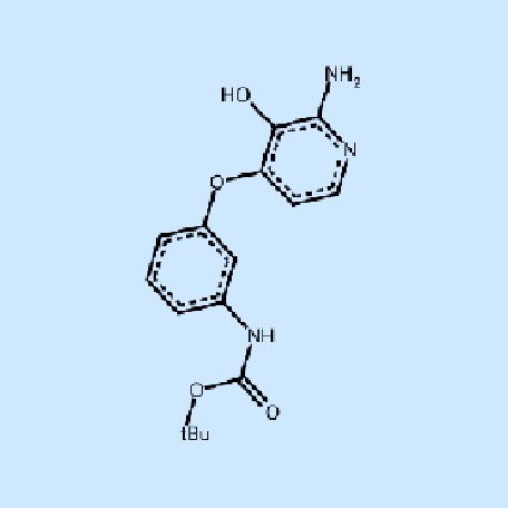 CC(C)(C)OC(=O)Nc1cccc(Oc2ccnc(N)c2O)c1